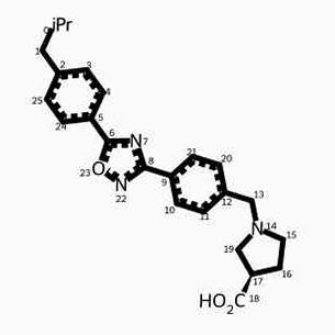 CC(C)Cc1ccc(-c2nc(-c3ccc(CN4CC[C@@H](C(=O)O)C4)cc3)no2)cc1